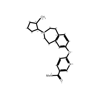 CNC(=O)c1ccc(Oc2ccc3c(c2)CCN(C2CCCC2C)CC3)nc1